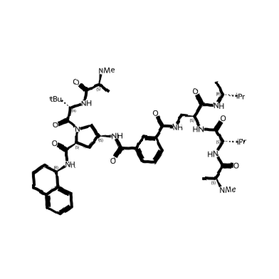 CN[C@@H](C)C(=O)N[C@H](C(=O)N[C@@H](CNC(=O)c1cccc(C(=O)N[C@H]2C[C@@H](C(=O)N[C@@H]3CCCc4ccccc43)N(C(=O)[C@@H](NC(=O)[C@H](C)NC)C(C)(C)C)C2)c1)C(=O)N[C@H](C)C(C)C)C(C)C